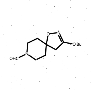 CC(C)COC1=NOC2(CCN(C=O)CC2)C1